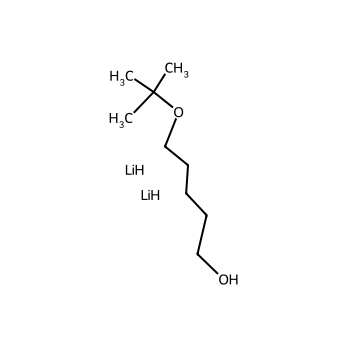 CC(C)(C)OCCCCCO.[LiH].[LiH]